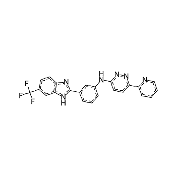 FC(F)(F)c1ccc2nc(-c3cccc(Nc4ccc(-c5ccccn5)nn4)c3)[nH]c2c1